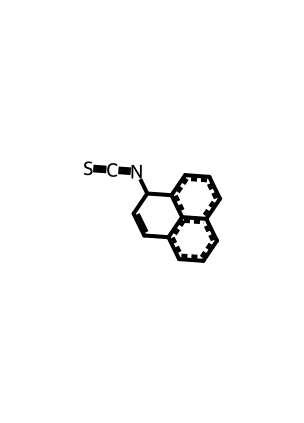 S=C=NC1C=Cc2cccc3cccc1c23